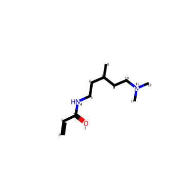 C=CC(=O)NCCC(C)CCN(C)C